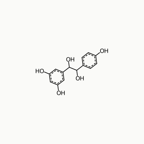 Oc1ccc(C(O)C(O)c2cc(O)cc(O)c2)cc1